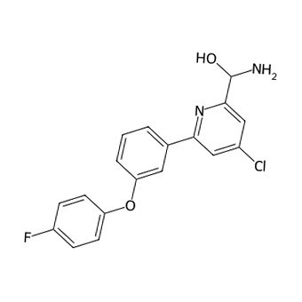 NC(O)c1cc(Cl)cc(-c2cccc(Oc3ccc(F)cc3)c2)n1